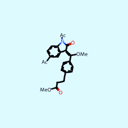 COC(=O)CCc1ccc(C(OC)=C2C(=O)N(C(C)=O)c3ccc(C(C)=O)cc32)cc1